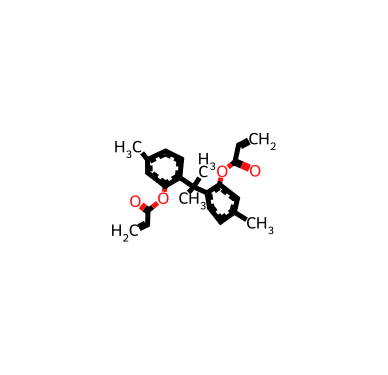 C=CC(=O)Oc1cc(C)ccc1C(C)(C)c1ccc(C)cc1OC(=O)C=C